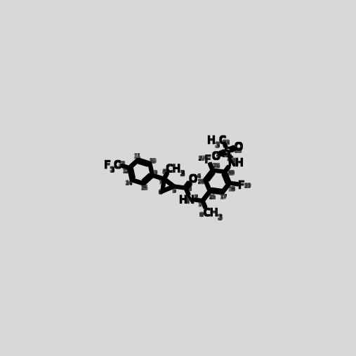 CC(NC(=O)C1CC1(C)c1ccc(C(F)(F)F)cc1)c1cc(F)c(NS(C)(=O)=O)c(F)c1